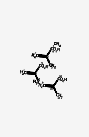 C.C=C(C)C(=O)O.C=C(C)C(=O)O.C=C(C)C(=O)O